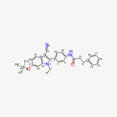 CCn1c(-c2ccc(NC(=O)CCc3ccccc3)cc2)c(C#N)c2ccc(OC(F)(F)F)cc21